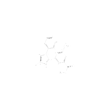 COC(=O)c1ccc(-c2ccccc2-n2cnc(C)c2)c(OC)c1